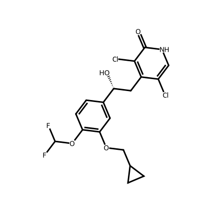 O=c1[nH]cc(Cl)c(C[C@@H](O)c2ccc(OC(F)F)c(OCC3CC3)c2)c1Cl